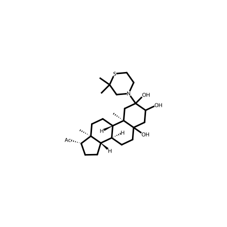 CC(=O)[C@H]1CC[C@H]2[C@@H]3CCC4(O)CC(O)C(O)(N5CCSC(C)(C)C5)C[C@]4(C)[C@H]3CC[C@]12C